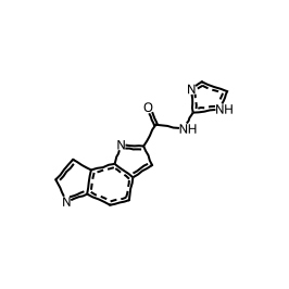 O=C(Nc1ncc[nH]1)C1=Nc2c3c(ccc2=C1)=NC=C3